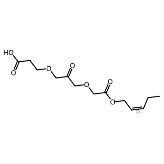 CC/C=C\COC(=O)COCC(=O)COCCC(=O)O